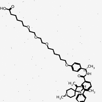 C=C(NC(=C)C1(Nc2cccc(C(=O)N[C@@H](C)c3ccc(OCCCCCCOCCOCCOCCCCCC(=O)O)cc3)c2)CCN(C)CC1)c1ccncc1